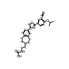 CC(C)Oc1ccc(-c2nc(-c3ccc4c(c3)CCN(CCNC(=O)O)CC4)no2)cc1C#N